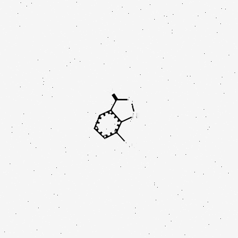 O=C1[N]Nc2c1cccc2[N+](=O)[O-]